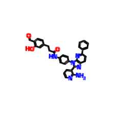 Nc1ncccc1-c1nc2ccc(-c3ccccc3)nc2n1-c1ccc(NC(=O)CCc2ccc(C=O)c(O)c2)cc1